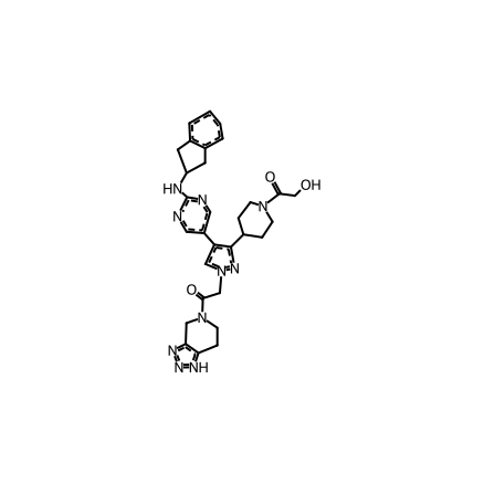 O=C(CO)N1CCC(c2nn(CC(=O)N3CCc4[nH]nnc4C3)cc2-c2cnc(NC3Cc4ccccc4C3)nc2)CC1